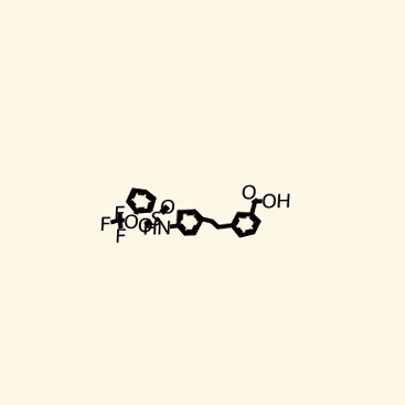 O=C(O)c1cccc(CCc2ccc(NS(=O)(=O)c3ccccc3OC(F)(F)F)cc2)c1